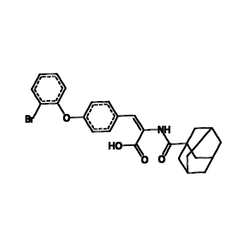 O=C(O)C(=Cc1ccc(Oc2ccccc2Br)cc1)NC(=O)C12CC3CC(CC(C3)C1)C2